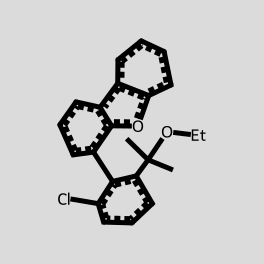 CCOC(C)(C)c1cccc(Cl)c1-c1cccc2c1oc1ccccc12